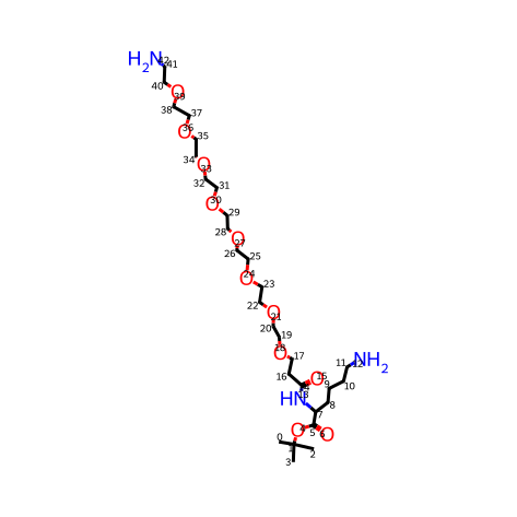 CC(C)(C)OC(=O)C(CCCCN)NC(=O)CCOCCOCCOCCOCCOCCOCCOCCOCCN